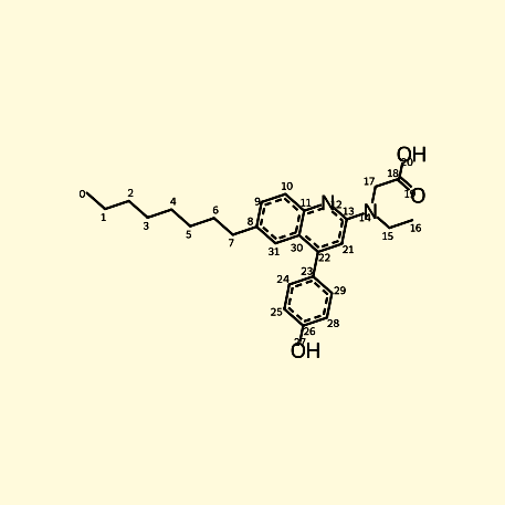 CCCCCCCCc1ccc2nc(N(CC)CC(=O)O)cc(-c3ccc(O)cc3)c2c1